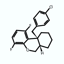 Fc1ccc(F)c2c1OC[C@H]1CCCC[C@@]21Cc1ccc(Cl)cc1